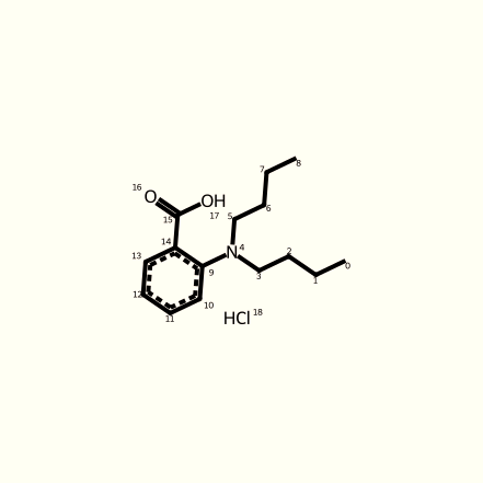 CCCCN(CCCC)c1ccccc1C(=O)O.Cl